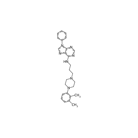 Cc1cccc(N2CCN(CCCNc3ncnc4c3ncn4-c3ccccc3)CC2)c1C